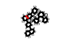 c1ccc(-c2ccc(-c3cccc4ccccc34)cc2N(c2cccc(-c3cccc4oc5ccccc5c34)c2)c2cccc3c2sc2ccccc23)cc1